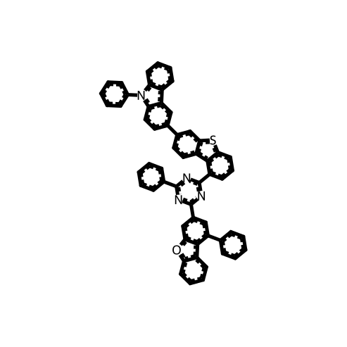 c1ccc(-c2nc(-c3cc(-c4ccccc4)c4c(c3)oc3ccccc34)nc(-c3cccc4sc5cc(-c6ccc7c(c6)c6ccccc6n7-c6ccccc6)ccc5c34)n2)cc1